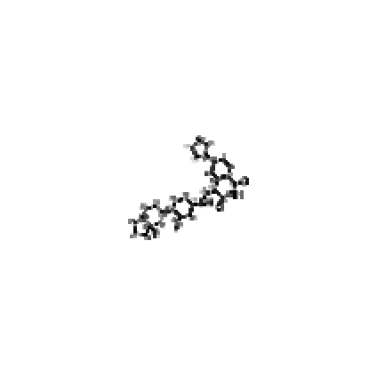 O=C1NC(=O)c2ccc(-c3ccsc3)cc2C1=CNc1ccc(N2CCN3CCC[C@H]3C2)c(F)c1